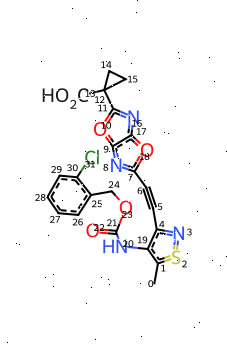 Cc1snc(C#Cc2nc3oc(C4(C(=O)O)CC4)nc3o2)c1NC(=O)OCc1ccccc1Cl